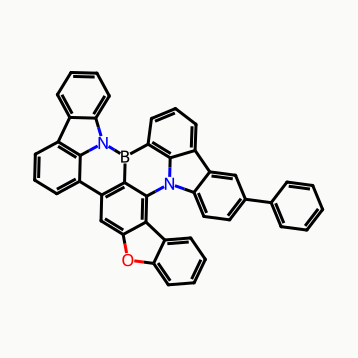 c1ccc(-c2ccc3c(c2)c2cccc4c2n3-c2c3c(cc5oc6ccccc6c25)-c2cccc5c6ccccc6n(c25)B34)cc1